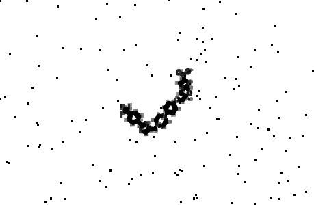 C[C@]1(COc2ccc(N3CCN(Cc4csc(-c5ccc(C(F)(F)F)cc5)n4)CC3)cc2)Cn2cc([N+](=O)[O-])nc2O1